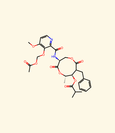 COc1ccnc(C(=O)N[C@H]2COC(=O)C(Cc3ccccc3)[C@@H](OC(=O)C(C)C)[C@H](C)OC2=O)c1OCOC(C)=O